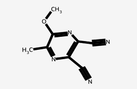 COc1nc(C#N)c(C#N)nc1C